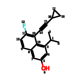 CC(C)c1cc(O)cc2ccc(F)c(C#CC3CC3)c12